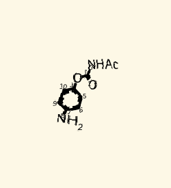 CC(=O)NC(=O)Oc1ccc(N)cc1